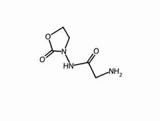 NCC(=O)NN1CCOC1=O